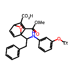 CCOc1cccc(NC(Cc2ccccc2)C23C=CC(O2)C(C(=O)O)=C3C(=O)OC)c1